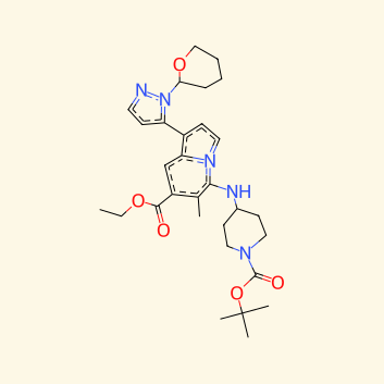 CCOC(=O)c1cc2c(-c3ccnn3C3CCCCO3)ccn2c(NC2CCN(C(=O)OC(C)(C)C)CC2)c1C